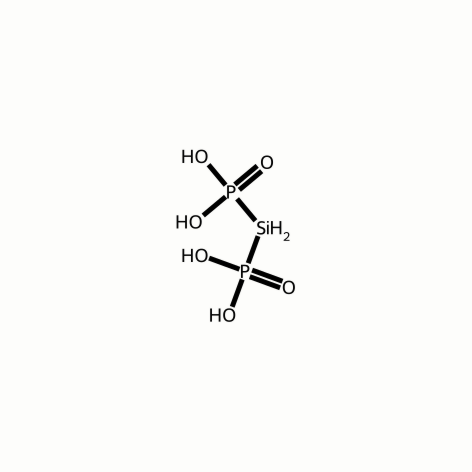 O=P(O)(O)[SiH2]P(=O)(O)O